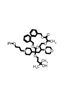 CC(C)OCCCN1CCC(C(CC(CCOC(C)C(=O)OCc2ccccc2)N2CCOCC2)(OCCC(C)(C)O)C(=O)OCc2ccccc2)CC1